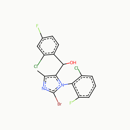 Cc1nc(Br)n(-c2c(F)cccc2Cl)c1C(O)c1ccc(F)cc1Cl